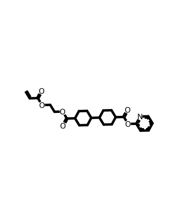 C=CC(=O)OCCOC(=O)C1CCC(C2CCC(C(=O)Oc3ccccn3)CC2)CC1